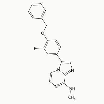 CNc1nccn2c(-c3ccc(OCc4ccccc4)c(F)c3)cnc12